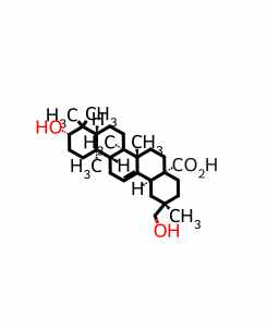 CC1(C)[C@@H](O)CC[C@]2(C)[C@H]3CC=C4[C@@H]5C[C@@](C)(CO)CC[C@]5(C(=O)O)CC[C@@]4(C)[C@]3(C)CC[C@@H]12